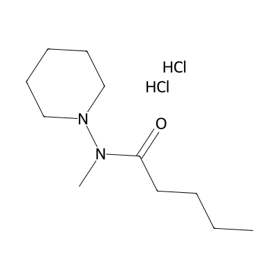 CCCCC(=O)N(C)N1CCCCC1.Cl.Cl